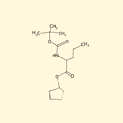 CCCC(NC(=O)OC(C)(C)C)C(=O)OC1CCCC1